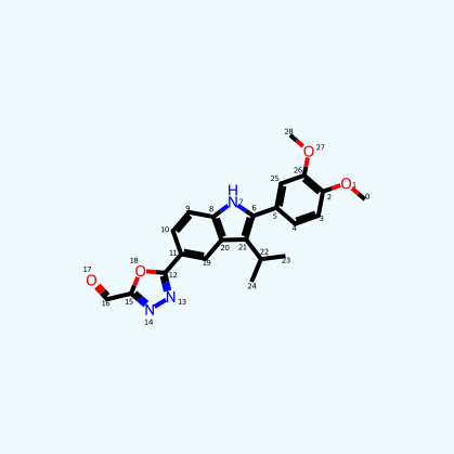 COc1ccc(-c2[nH]c3ccc(-c4nnc(C=O)o4)cc3c2C(C)C)cc1OC